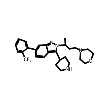 CC(CCN1CCOCC1)n1nc2cc(-c3ccccc3C(F)(F)F)ccc2c1C1CCNCC1